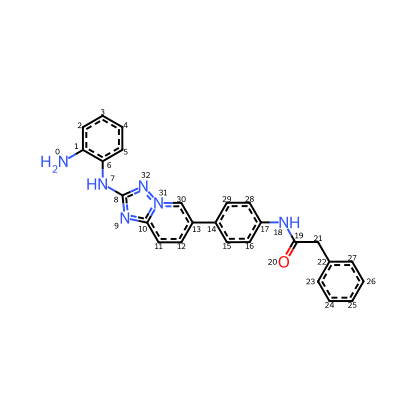 Nc1ccccc1Nc1nc2ccc(-c3ccc(NC(=O)Cc4ccccc4)cc3)cn2n1